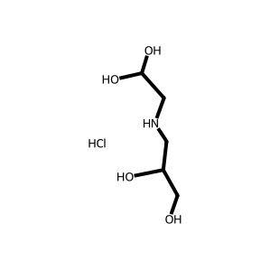 Cl.OCC(O)CNCC(O)O